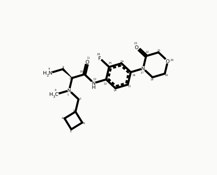 CN(CC1CCC1)[C@@H](CN)C(=O)Nc1ccc(N2CCOCC2=O)cc1F